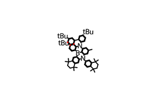 Cc1cc2c3c(c1)N(c1ccc(C(C)(C)C)cc1-c1cccc(C(C)(C)C)c1)c1cc(C(C)(C)C)ccc1B3c1cc3c(cc1N2c1ccc2c(c1)C(C)(C)CCC2(C)C)C(C)(C)CCC3(C)C